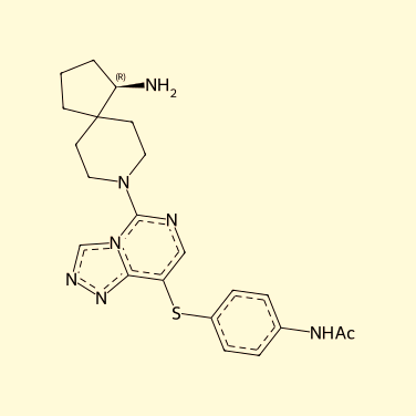 CC(=O)Nc1ccc(Sc2cnc(N3CCC4(CCC[C@H]4N)CC3)n3cnnc23)cc1